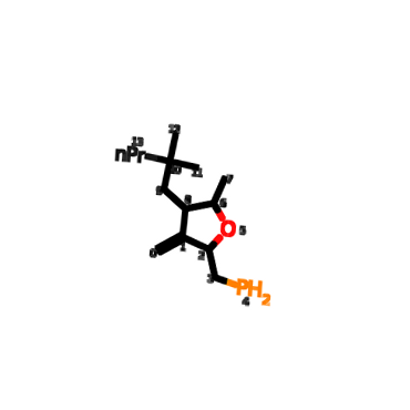 C=C1C(CP)OC(C)C1CC(C)(C)CCC